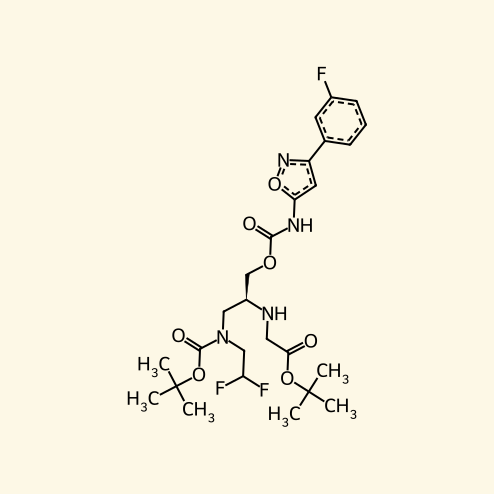 CC(C)(C)OC(=O)CN[C@H](COC(=O)Nc1cc(-c2cccc(F)c2)no1)CN(CC(F)F)C(=O)OC(C)(C)C